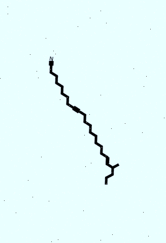 CCCC(C)C=CCCCCCCCCC#CCCCCCCCC#N